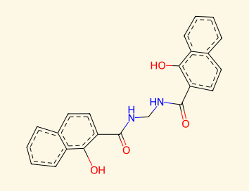 O=C(NCNC(=O)c1ccc2ccccc2c1O)c1ccc2ccccc2c1O